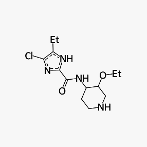 CCOC1CNCCC1NC(=O)c1nc(Cl)c(CC)[nH]1